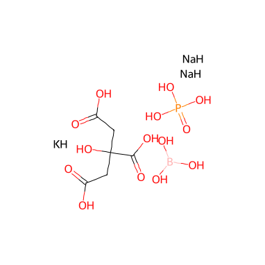 O=C(O)CC(O)(CC(=O)O)C(=O)O.O=P(O)(O)O.OB(O)O.[KH].[NaH].[NaH]